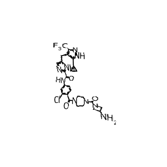 NC1CN(C(=O)N2CCN(C(=O)c3ccc(NC(=O)c4ncc(Cc5c(C(F)(F)F)n[nH]c5C5CC5)[nH]4)cc3Cl)CC2)C1